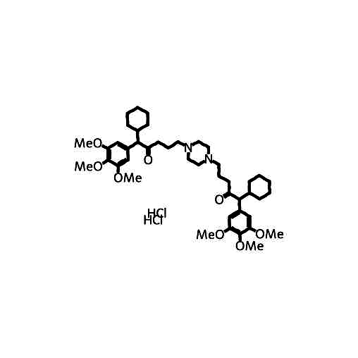 COc1cc(C(C(=O)CCCN2CCN(CCCC(=O)C(c3cc(OC)c(OC)c(OC)c3)C3CCCCC3)CC2)C2CCCCC2)cc(OC)c1OC.Cl.Cl